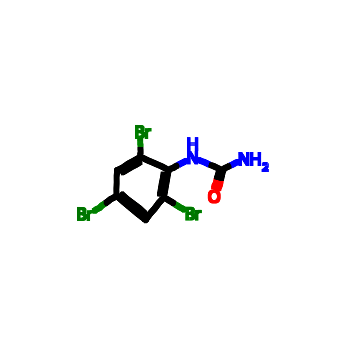 NC(=O)Nc1c(Br)cc(Br)cc1Br